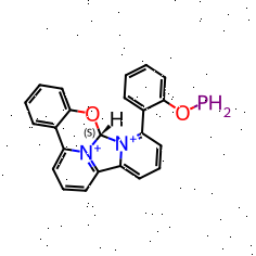 POc1ccccc1-c1cccc2[n+]1[C@H]1Oc3ccccc3-c3cccc-2[n+]31